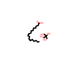 CCCCC/C=C\C/C=C\CCCCCCCC(=O)O.OCC(CO)(CO)CO